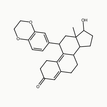 CC12CC(c3ccc4c(c3)OCCO4)C3=C4CCC(=O)C=C4CCC3C1CCC2O